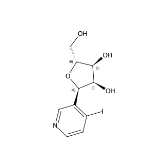 OC[C@H]1O[C@H](c2cnccc2I)[C@H](O)[C@@H]1O